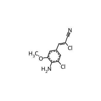 COc1cc(C=C(Cl)C#N)cc(Cl)c1N